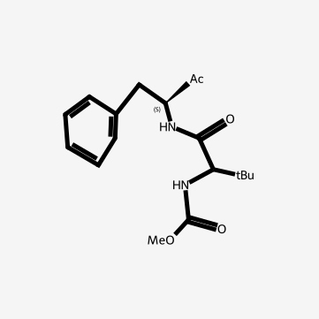 COC(=O)NC(C(=O)N[C@@H](Cc1ccccc1)C(C)=O)C(C)(C)C